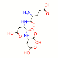 N[C@@H](CCC(=O)O)C(=O)N[C@H](CC(=O)O)C(=O)N[C@H](CC(=O)O)C(=O)O